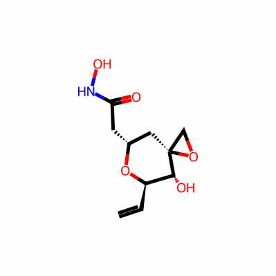 C=C[C@H]1O[C@H](CC(=O)NO)C[C@@]2(CO2)[C@@H]1O